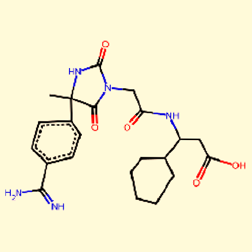 CC1(c2ccc(C(=N)N)cc2)NC(=O)N(CC(=O)NC(CC(=O)O)C2CCCCC2)C1=O